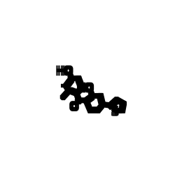 Cc1[c]c(O)ccc1C(=O)c1ccc(-c2cccs2)cc1O